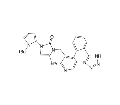 CCCc1cn(-c2cccn2C(C)(C)C)c(=O)n1Cc1cnccc1-c1ccccc1-c1nnn[nH]1